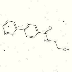 O=C(NCCO)c1ccc(-c2cccnc2)cc1